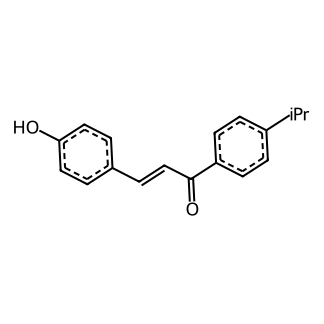 CC(C)c1ccc(C(=O)C=Cc2ccc(O)cc2)cc1